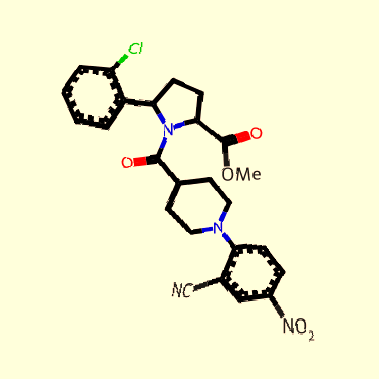 COC(=O)C1CCC(c2ccccc2Cl)N1C(=O)C1CCN(c2ccc([N+](=O)[O-])cc2C#N)CC1